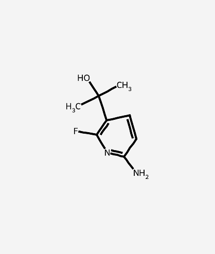 CC(C)(O)c1ccc(N)nc1F